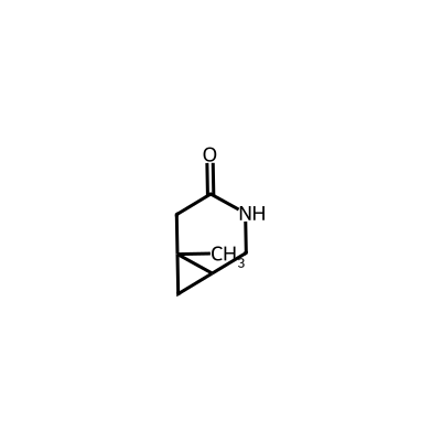 CC12CC(=O)NCC1C2